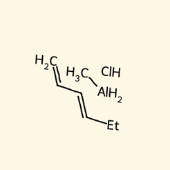 C=CC=CCC.Cl.[CH3][AlH2]